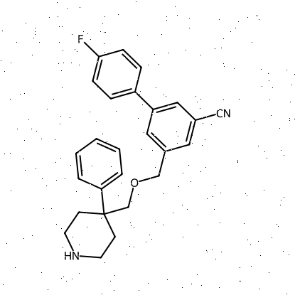 N#Cc1cc(COCC2(c3ccccc3)CCNCC2)cc(-c2ccc(F)cc2)c1